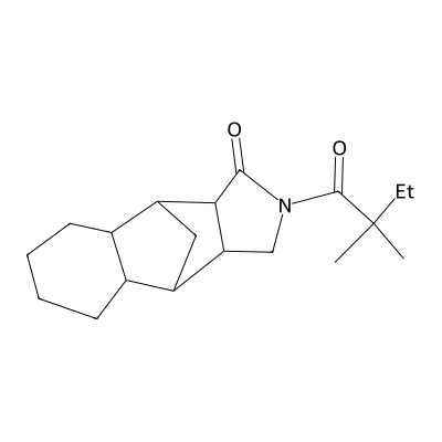 CCC(C)(C)C(=O)N1CC2C3CC(C4CCCCC43)C2C1=O